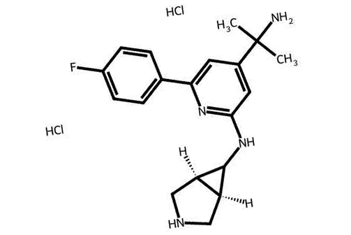 CC(C)(N)c1cc(NC2[C@H]3CNC[C@@H]23)nc(-c2ccc(F)cc2)c1.Cl.Cl